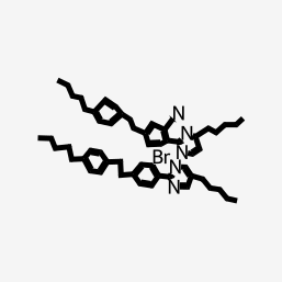 CCCCCc1ccc(CCc2ccc(-c3ncc(CCCCC)cn3)c(Br)c2)cc1.CCCCCc1ccc(CCc2ccc(-c3nccc(CCCCC)n3)c(C#N)c2)cc1